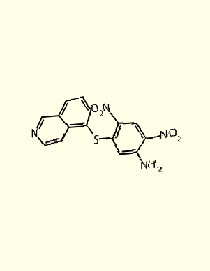 Nc1cc(Sc2cccc3cnccc23)c([N+](=O)[O-])cc1[N+](=O)[O-]